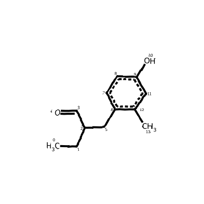 CCC(C=O)Cc1ccc(O)cc1C